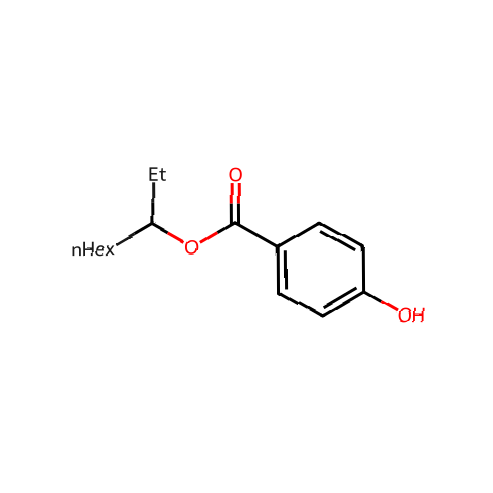 CCCCCCC(CC)OC(=O)c1ccc(O)cc1